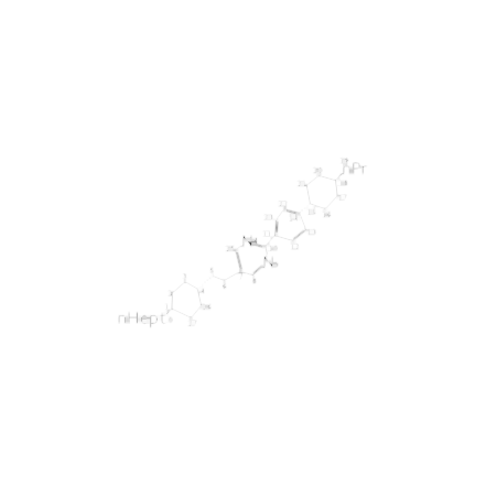 CCCCCCC[C@H]1CC[C@H](CCc2cnc(-c3ccc([C@H]4CC[C@H](CCC)CC4)cc3)nc2)CC1